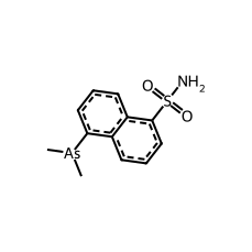 C[As](C)c1cccc2c(S(N)(=O)=O)cccc12